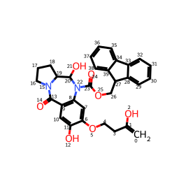 C=C(O)CCOc1cc2c(cc1O)C(=O)N1CCCC1C(O)N2C(=O)OCC1c2ccccc2-c2ccccc21